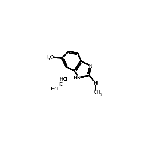 CNc1nc2ccc(C)cc2[nH]1.Cl.Cl.Cl